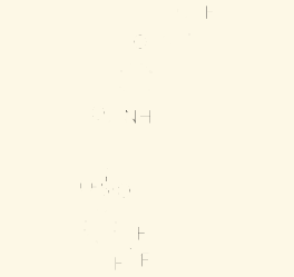 O=C(Nc1ccc(Oc2ccc(F)cc2)cc1)[C@H]1C[C@H](S(=O)(=O)c2cccc(C(F)(F)F)c2)C1